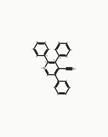 N#Cc1c(-c2ccccc2)cnc(-c2ccccc2)c1-c1ccccc1